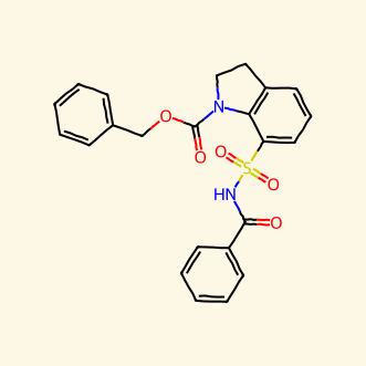 O=C(NS(=O)(=O)c1cccc2c1N(C(=O)OCc1ccccc1)CC2)c1ccccc1